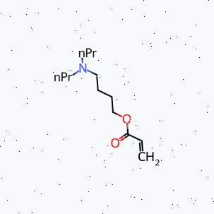 C=CC(=O)OCCCCN(CCC)CCC